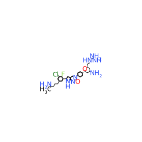 C[C@H](N)CCCc1cc(Cl)c(F)c(-c2cc3cn(-c4ccc([C@H]5CC(N)C[C@H](CCNC(=N)N)O5)cc4)c(=O)nc3[nH]2)c1